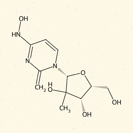 C=C1N=C(NO)C=CN1[C@@H]1O[C@H](CO)[C@H](O)C1(C)O